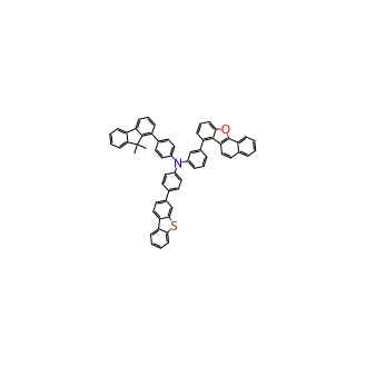 CC1(C)c2ccccc2-c2cccc(-c3ccc(N(c4ccc(-c5ccc6c(c5)sc5ccccc56)cc4)c4cccc(-c5cccc6oc7c8ccccc8ccc7c56)c4)cc3)c21